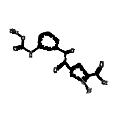 CCC(=O)c1cc(C(=O)C(=O)c2cccc(NC(=O)OC(C)(C)C)c2)cn1CC